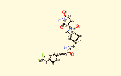 O=C(C#Cc1ccc(CC(F)F)cc1)NCc1ccc2c(c1)CN(C1CCC(=O)NC1=O)C2=O